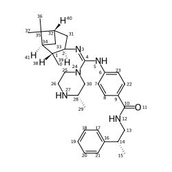 C[C@H]1[C@H](N=C(Nc2ccc(C(=O)NC[C@H](C)c3ccccc3)cc2)N2CCN[C@@H](C)C2)C[C@@H]2C[C@@H]1C2(C)C